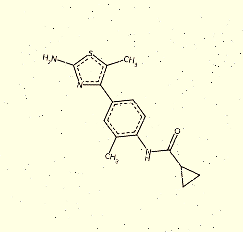 Cc1cc(-c2nc(N)sc2C)ccc1NC(=O)C1CC1